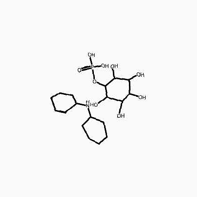 C1CCC(NC2CCCCC2)CC1.O=P(O)(O)OC1C(O)C(O)C(O)C(O)C1O